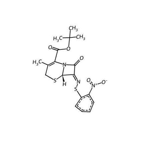 CC1=C(C(=O)OC(C)(C)C)N2C(=O)C(=NSc3ccccc3[N+](=O)[O-])[C@@H]2SC1